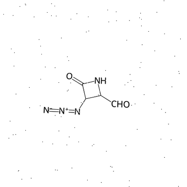 [N-]=[N+]=NC1C(=O)NC1C=O